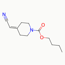 CCCCOC(=O)N1CCC(=CC#N)CC1